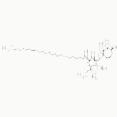 CCCCCCCCCCCCCCCCCCCCCCCCNC(=S)NC(COC1CCCC(O)C(O)C1O)C(O)CC(O)CC